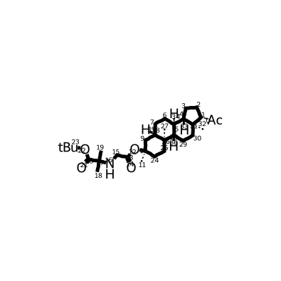 CC(=O)[C@H]1CC[C@H]2[C@@H]3CC[C@H]4C[C@](C)(OC(=O)CNC(C)(C)C(=O)OC(C)(C)C)CC[C@]4(C)[C@H]3CC[C@]12C